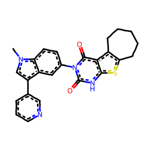 Cn1cc(-c2cccnc2)c2cc(-n3c(=O)[nH]c4sc5c(c4c3=O)CCCCC5)ccc21